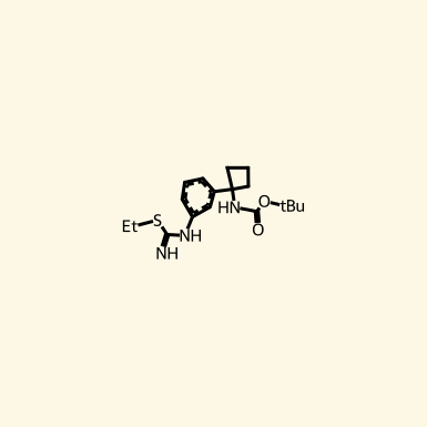 CCSC(=N)Nc1cccc(C2(NC(=O)OC(C)(C)C)CCC2)c1